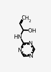 C=CC(O)Nc1ncncn1